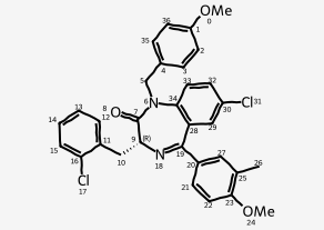 COc1ccc(CN2C(=O)[C@@H](Cc3ccccc3Cl)N=C(c3ccc(OC)c(C)c3)c3cc(Cl)ccc32)cc1